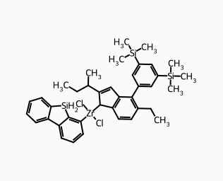 CCc1ccc2c(c1-c1cc([Si](C)(C)C)cc([Si](C)(C)C)c1)C=C(C(C)CC)[CH]2[Zr]([Cl])([Cl])[c]1cccc2c1[SiH2]c1ccccc1-2